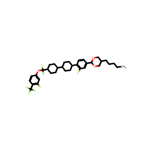 CCCCCC1COC(c2ccc(C3CCC(C4CCC(C(F)(F)Oc5ccc(C(F)(F)F)c(F)c5)CC4)CC3)c(F)c2)OC1